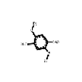 CCOc1cc(C=O)c(OCC)cc1C=O